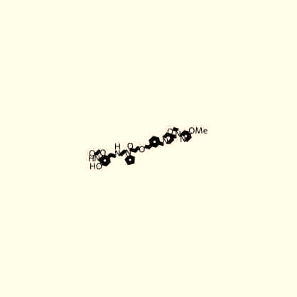 COc1ccnc(N2CCOC3(CCN(Cc4cccc(CCOCCC(=O)N(CCNCCc5ccc(O)c6c5OCC(=O)N6)C5CCCC5)c4)CC3)C2)c1